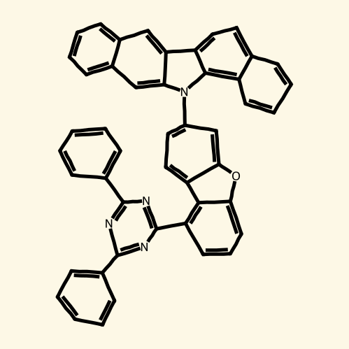 c1ccc(-c2nc(-c3ccccc3)nc(-c3cccc4oc5cc(-n6c7cc8ccccc8cc7c7ccc8ccccc8c76)ccc5c34)n2)cc1